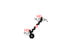 CC(C)(CO)CCCCOCCCCC(C)(CO)c1ccccc1